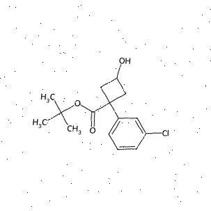 CC(C)(C)OC(=O)C1(c2cccc(Cl)c2)CC(O)C1